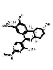 CCOc1cc2c(cc1OC)C(c1cnc(N(C)C)nc1OC)=N[C@@H]1CC[C@@H](O)C[C@H]21.O=S(=O)(O)O